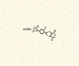 CC(=O)NC[C@H]1CN(c2ccc(N3CCN4C(=O)CCC(=O)N4CC3)c(F)c2)C(=O)O1